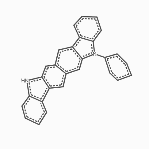 c1ccc(-n2c3ccccc3c3cc4cc5[nH]c6ccccc6c5cc4cc32)cc1